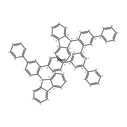 c1ccc(-c2ccc(-n3c4ccccc4c4ccccc43)c(-c3ccc(-c4nc(-c5ccccc5)nc(-c5cc(-c6ccccc6)ccc5-n5c6ccccc6c6ccccc65)n4)cc3)c2)cc1